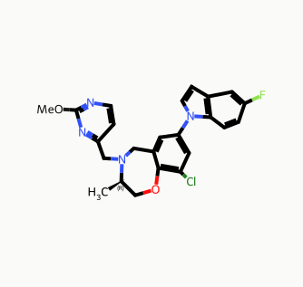 COc1nccc(CN2Cc3cc(-n4ccc5cc(F)ccc54)cc(Cl)c3OC[C@H]2C)n1